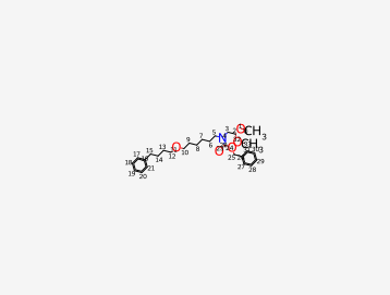 COC(CN(CCCCCCOCCCCc1ccccc1)C(=O)OCc1ccccc1)OC